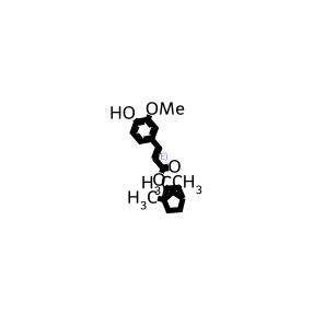 COc1cc(/C=C/C(=O)OC2CC3CCC2(C)C3(C)C)ccc1O